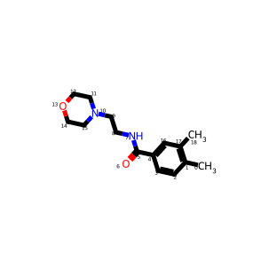 Cc1ccc(C(=O)NCCN2CCOCC2)cc1C